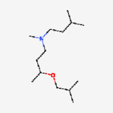 CC(C)CCN(C)CCC(C)OCC(C)C